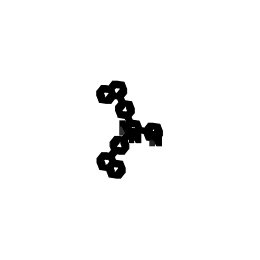 c1cncc(-c2cc(-c3ccc(-c4cccc5ccccc45)cc3)nc(-c3ccc(-c4cccc5ccccc45)cc3)n2)c1